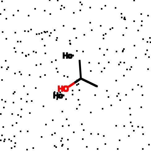 CC(C)O.[Ho].[Ho]